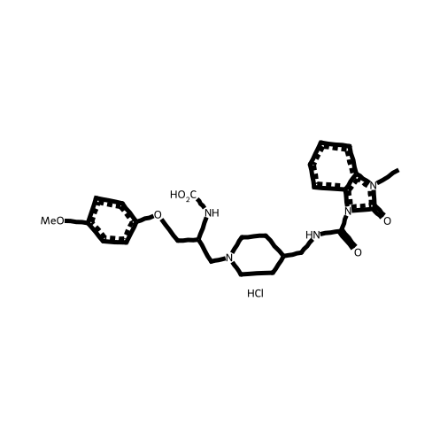 COc1ccc(OCC(CN2CCC(CNC(=O)n3c(=O)n(C)c4ccccc43)CC2)NC(=O)O)cc1.Cl